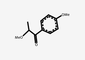 COc1ccc(C(=O)C(C)OC)cc1